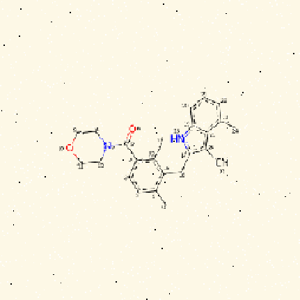 Cc1ccc(C(=O)N2CCOCC2)c(C)c1Cc1[nH]c2cccc(C)c2c1C#N